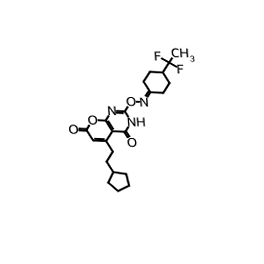 CC(F)(F)C1CCC(=NOc2nc3oc(=O)cc(CCC4CCCC4)c3c(=O)[nH]2)CC1